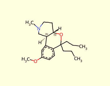 CCCC1(CCC)O[C@H]2CCN(C)C[C@@H]2c2cc(OC)ccc21